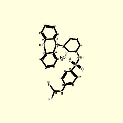 O=S(=O)(N[C@@H]1CCC[C@H](N2c3ccccc3Oc3ccccc32)[C@H]1O)c1ccc(OC(F)F)cc1